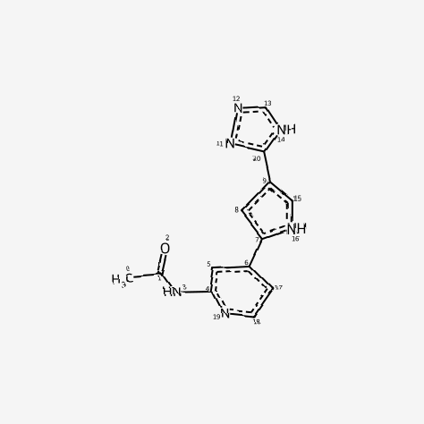 CC(=O)Nc1cc(-c2cc(-c3nnc[nH]3)c[nH]2)ccn1